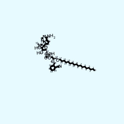 CCCCCCCCCCCCCCCCCCOC[C@H](COP(=O)(O)OC[C@H]1O[C@@](C=NC)(c2ccc3c(N)ncnn23)[C@H](O)[C@@H]1O)OCc1ccccc1C#N